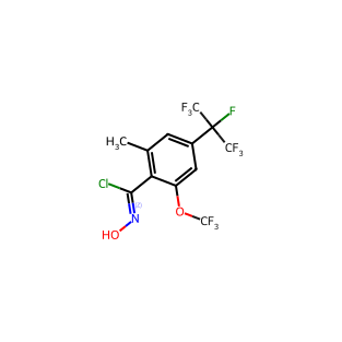 Cc1cc(C(F)(C(F)(F)F)C(F)(F)F)cc(OC(F)(F)F)c1/C(Cl)=N/O